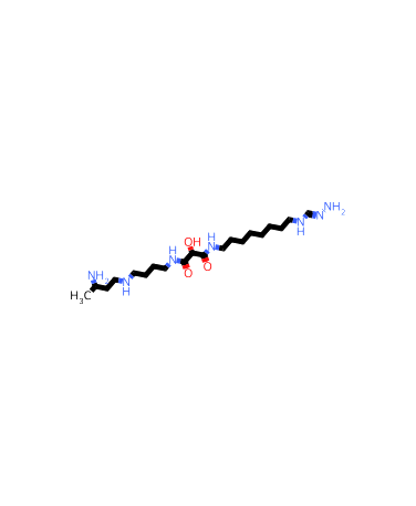 CC(N)CCNCCCCNC(=O)C(O)C(=O)NCCCCCCCCNC=NN